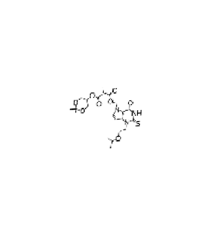 CC(C)OCCn1c(=S)[nH]c(=O)c2c1ccn2COC(=O)C(C)C(=O)OC1COC(C)(C)OC1